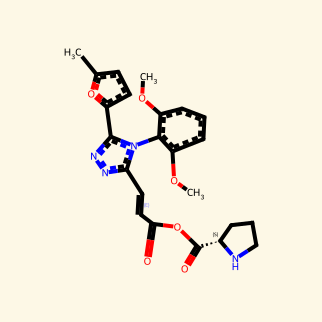 COc1cccc(OC)c1-n1c(/C=C/C(=O)OC(=O)[C@@H]2CCCN2)nnc1-c1ccc(C)o1